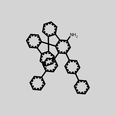 Nc1cc(-c2ccc(-c3ccccc3)cc2)c(-c2ccc(-c3ccccc3)cc2)c2c1-c1ccccc1C21c2ccccc2-c2ccccc21